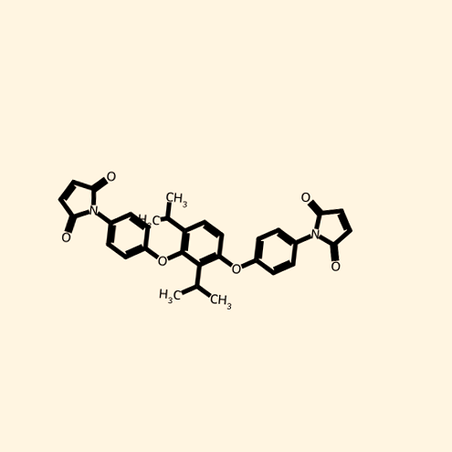 CC(C)c1ccc(Oc2ccc(N3C(=O)C=CC3=O)cc2)c(C(C)C)c1Oc1ccc(N2C(=O)C=CC2=O)cc1